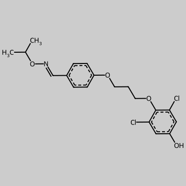 CC(C)O/N=C/c1ccc(OCCCOc2c(Cl)cc(O)cc2Cl)cc1